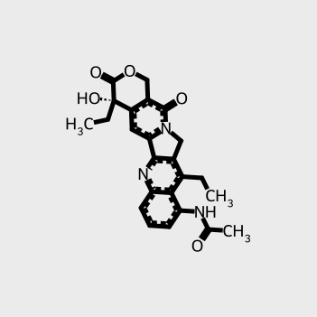 CCc1c2c(nc3cccc(NC(C)=O)c13)-c1cc3c(c(=O)n1C2)COC(=O)[C@]3(O)CC